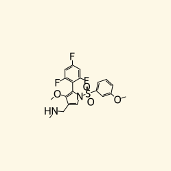 CNCc1cn(S(=O)(=O)c2cccc(OC)c2)c(-c2c(F)cc(F)cc2F)c1OC